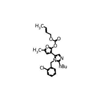 CC=CCOC(=O)Oc1oc(C)cc1-c1cnc(CCCC)n1Cc1ccccc1Cl